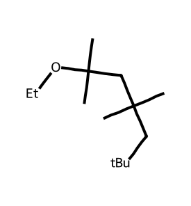 CCOC(C)(C)CC(C)(C)CC(C)(C)C